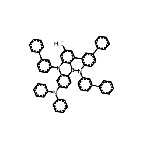 Cc1cc2c3c(c1)N(c1cccc(-c4ccccc4)c1)c1cc(N(c4ccccc4)c4ccccc4)ccc1B3N(c1cccc(-c3ccccc3)c1)c1ccc(-c3ccccc3)cc1-2